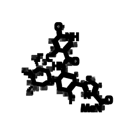 CNC(=O)c1csc(-c2cc(NC(=O)c3c[nH]c(=O)cc3C(F)(F)F)c(N3C[C@@H](C)N(C)[C@@H](C)C3)cc2F)n1